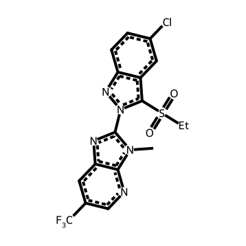 CCS(=O)(=O)c1c2cc(Cl)ccc2nn1-c1nc2cc(C(F)(F)F)cnc2n1C